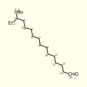 CCCCC(CC)CSCCCCCCCCCCC=O